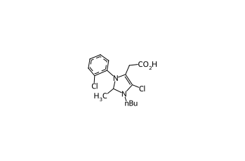 CCCCN1C(Cl)=C(CC(=O)O)N(c2ccccc2Cl)C1C